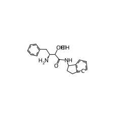 Cl.N[C@@H](Cc1ccccc1)C(O)C(=O)NC1CCc2ccccc21